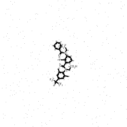 Cc1cc(C(F)(C(F)(F)F)C(F)(F)F)cc(C)c1N(CC(=O)O)C(=O)c1cccc(N(CC(=O)O)C(=O)c2ccccc2)c1F